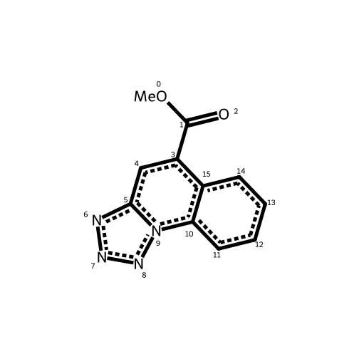 COC(=O)c1cc2nnnn2c2ccccc12